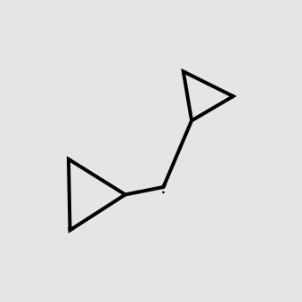 [CH](C1CC1)C1CC1